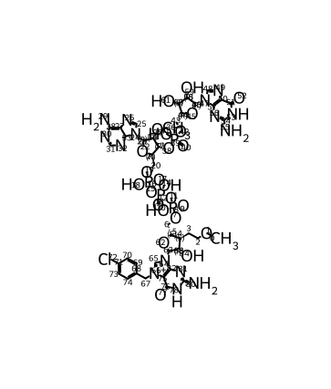 COCC[C@@H]1[C@@H](COP(=O)(O)OP(=O)(O)OP(=O)(O)OC[C@H]2O[C@@H](n3cnc4c(N)ncnc43)[C@H](OC)[C@@H]2OP(=O)(O)OC[C@H]2O[C@@H](n3cnc4c(=O)[nH]c(N)nc43)[C@H](O)[C@@H]2O)OC(n2c[n+](Cc3ccc(Cl)cc3)c3c(=O)[nH]c(N)nc32)[C@@H]1O